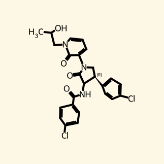 CC(O)Cn1cccc(N2C[C@@H](c3ccc(Cl)cc3)C(NC(=O)c3ccc(Cl)cc3)C2=O)c1=O